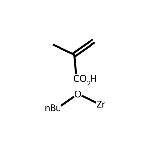 C=C(C)C(=O)O.CCCC[O][Zr]